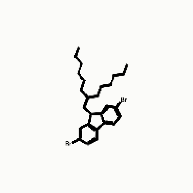 CCCCCCC(CCCCCC)CC1c2cc(Br)ccc2-c2ccc(Br)cc21